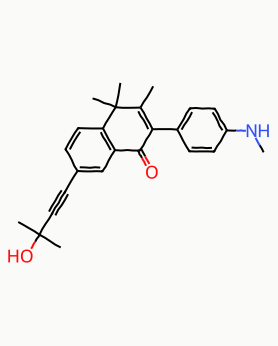 CNc1ccc(C2=C(C)C(C)(C)c3ccc(C#CC(C)(C)O)cc3C2=O)cc1